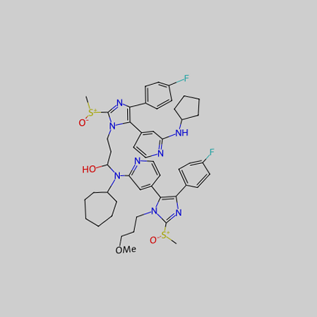 COCCCn1c([S+](C)[O-])nc(-c2ccc(F)cc2)c1-c1ccnc(N(C(O)CCn2c([S+](C)[O-])nc(-c3ccc(F)cc3)c2-c2ccnc(NC3CCCC3)c2)C2CCCCCC2)c1